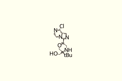 CC(C)(C)[C@@]1(CO)CO[C@@H](c2ncc3c(Cl)nccn23)CN1